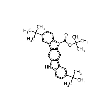 CC(C)(C)OC(=O)n1c2ccc(C(C)(C)C)cc2c2cc3[nH]c4ccc(C(C)(C)C)cc4c3cc21